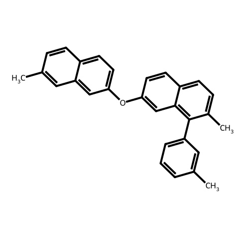 Cc1cccc(-c2c(C)ccc3ccc(Oc4ccc5ccc(C)cc5c4)cc23)c1